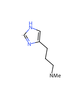 CNCCCc1c[nH][c]n1